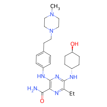 CCc1nc(C(N)=O)c(Nc2ccc(CCN3CCN(C)CC3)cc2)nc1N[C@H]1CC[C@H](O)CC1